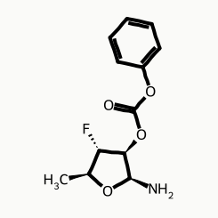 C[C@@H]1O[C@H](N)[C@H](OC(=O)Oc2ccccc2)[C@H]1F